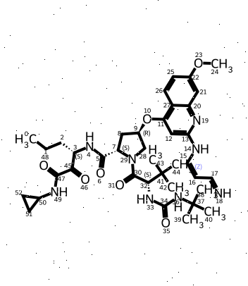 CCC[C@H](NC(=O)[C@@H]1C[C@@H](Oc2cc(N/C=C\C=N)nc3cc(OC)ccc23)CN1C(=O)[C@@H](NC(=O)NC(C)(C)C)C(C)(C)C)C(=O)C(=O)NC1CC1